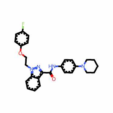 O=C(Nc1ccc(N2CCCCC2)cc1)c1nn(CCOc2ccc(F)cc2)c2ccccc12